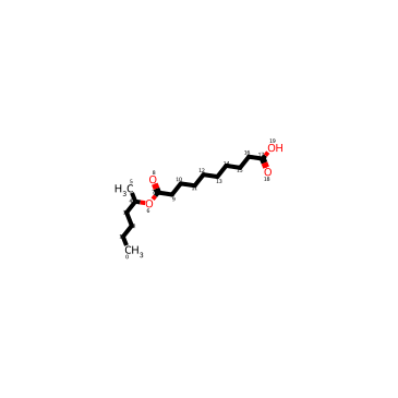 CCCCC(C)OC(=O)CCCCCCCCC(=O)O